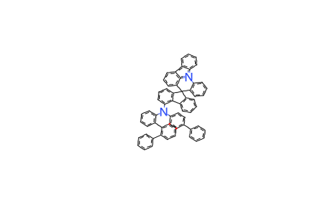 c1ccc(-c2ccc(N(c3ccccc3-c3ccccc3-c3ccccc3)c3cccc4c3-c3ccccc3C43c4ccccc4-n4c5ccccc5c5cccc3c54)cc2)cc1